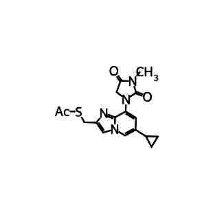 CC(=O)SCc1cn2cc(C3CC3)cc(N3CC(=O)N(C)C3=O)c2n1